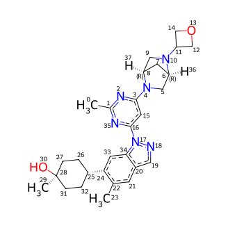 Cc1nc(N2C[C@H]3C[C@@H]2CN3C2COC2)cc(-n2ncc3cc(C)c([C@H]4CC[C@](C)(O)CC4)cc32)n1